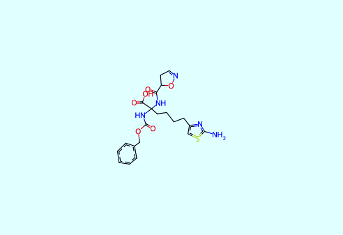 Nc1nc(CCCCC(NC(=O)OCc2ccccc2)(NC(=O)C2CC=NO2)C(=O)O)cs1